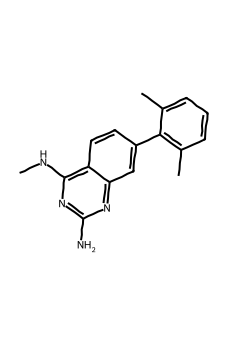 CNc1nc(N)nc2cc(-c3c(C)cccc3C)ccc12